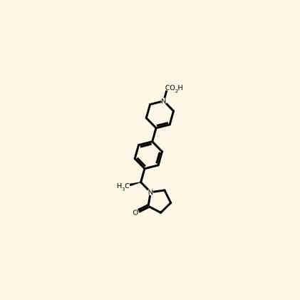 C[C@@H](c1ccc(C2=CCN(C(=O)O)CC2)cc1)N1CCCC1=O